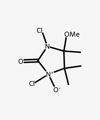 COC1(C)N(Cl)C(=O)[N+]([O-])(Cl)C1(C)C